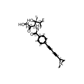 CN1CC1C#CC#Cc1ccc(C(=O)N[C@H](C(=O)NO)[C@](C)(O)C(F)F)cc1